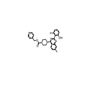 Cc1ccc2c(N3CCN(C(=O)OCc4ccncc4)CC3)nc(-c3c(O)cccc3F)nc2c1